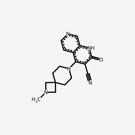 CN1CC2(CCN(c3c(C#N)c(=O)[nH]c4cnccc34)CC2)C1